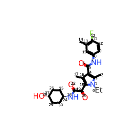 CCn1c(C)c(C(=O)Nc2ccc(F)c(C)c2)c(C)c1C(=O)C(=O)N[C@H]1CC[C@@H](O)CC1